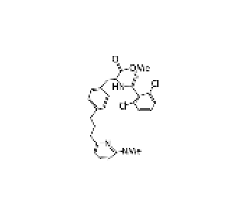 CNc1cccc(CCCc2ccc(CC(NC(=S)c3c(Cl)cccc3Cl)C(=O)OC)cc2)n1